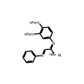 CCCCCc1ccc(N=C(C=Nc2ccccc2)CCCC)cc1CCCCC.[Ni]